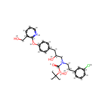 CC(C)(C)OC(=O)N(CC(O)Cc1ccc(Oc2ncccc2CO)cc1)C[C@@H](O)c1cccc(Cl)c1